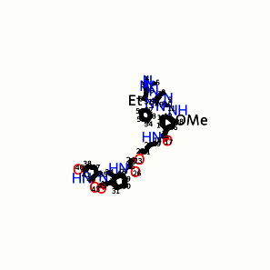 CC[C@@H]1c2nncn2-c2cnc(Nc3ccc(C(=O)NCCCCOCC(=O)Nc4cccc5c4CN(C4CCC(=O)NC4=O)C5=O)cc3OC)nc2N1C1CCCC1